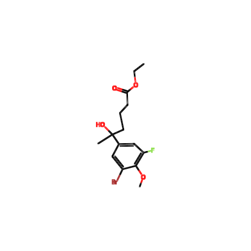 CCOC(=O)CCCC(C)(O)c1cc(F)c(OC)c(Br)c1